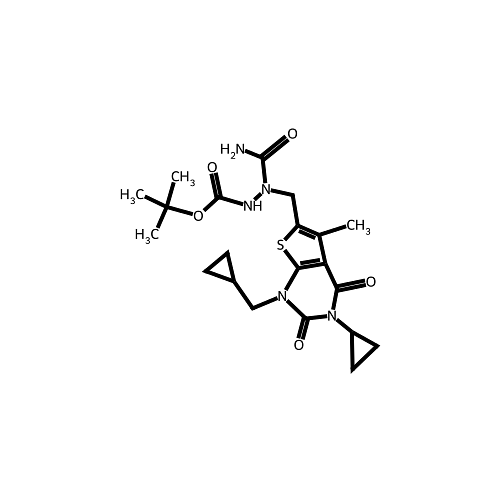 Cc1c(CN(NC(=O)OC(C)(C)C)C(N)=O)sc2c1c(=O)n(C1CC1)c(=O)n2CC1CC1